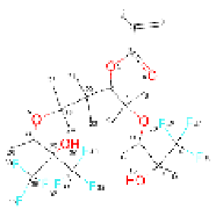 C=C(C)C(=O)OC(C(C)(C)OC(C)C(C)(O)C(F)(F)F)C(C)(C)C(C)(C)OC(C)C(O)(C(F)(F)F)C(F)(F)F